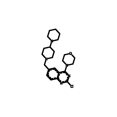 Clc1nc(N2CCOCC2)c2cc(CN3CCC(N4CCCCC4)CC3)ccc2n1